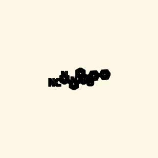 N#Cc1cncc(-c2cccc(-c3cc4oc5cc(-c6ccccc6)ccc5c4c4ccccc34)n2)c1